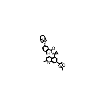 Cc1ccc2c(C3(NC(=O)c4cc(N5CC6CCC(C5)N6C)ccc4C)CC3)cc(-c3coc(C)n3)cc2n1